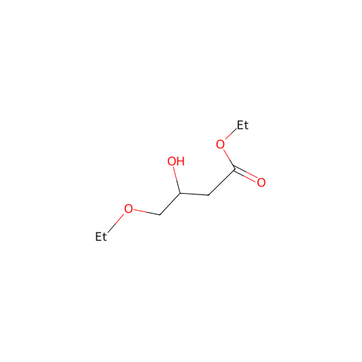 CCOCC(O)CC(=O)OCC